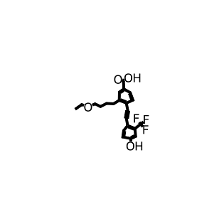 CCOCCCCc1cc(C(=O)O)ccc1C#Cc1ccc(O)cc1C(F)(F)F